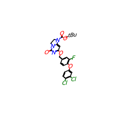 CC(C)(C)OC(=O)N1CCn2c1cc(OCc1ccc(Oc3ccc(Cl)c(Cl)c3)c(F)c1)nc2=O